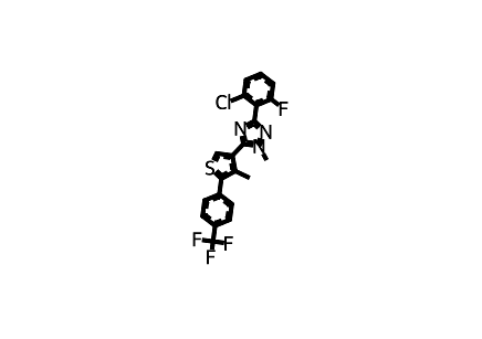 Cc1c(-c2nc(-c3c(F)cccc3Cl)nn2C)csc1-c1ccc(C(F)(F)F)cc1